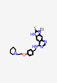 CCn1c(=S)[nH]c2cc3c(NCc4ccc(OCCN5CCCCC5)cc4)ncnc3cc21